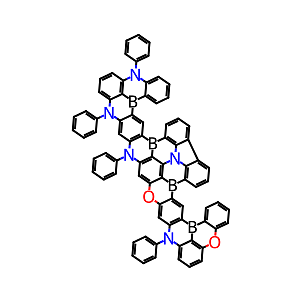 c1ccc(N2c3cc4c(cc3B3c5ccccc5Oc5cccc2c53)B2c3c(cc5c6c3-n3c7c2cccc7c2cccc(c23)B6c2cc3c(cc2N5c2ccccc2)N(c2ccccc2)c2cccc5c2B3c2ccccc2N5c2ccccc2)O4)cc1